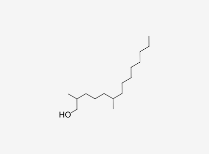 CCCCCCCCC(C)CCCC(C)CO